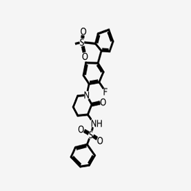 CS(=O)(=O)c1ccccc1-c1ccc(N2CCCC(NS(=O)(=O)c3ccccc3)C2=O)c(F)c1